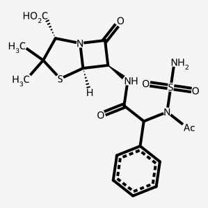 CC(=O)N(C(C(=O)N[C@@H]1C(=O)N2[C@@H]1SC(C)(C)[C@@H]2C(=O)O)c1ccccc1)S(N)(=O)=O